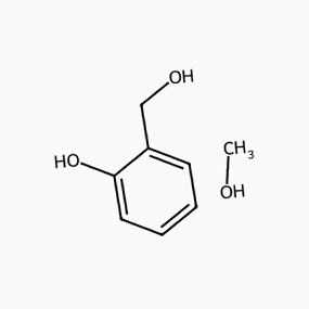 CO.OCc1ccccc1O